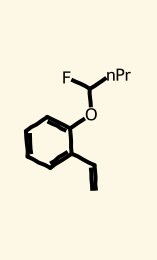 C=Cc1ccccc1OC(F)CCC